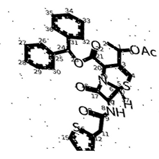 CC(=O)OC(C)C1=CS[C@@H]2[C@H](NC(=O)Cc3cccs3)C(=O)N2C1C(=O)OC(c1ccccc1)c1ccccc1